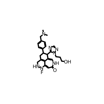 CN(C)Cc1ccc(C2CC3=C4C(=CNC(=O)C=C4N(F)NC3)C2c2ncnn2CCCO)cc1